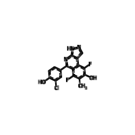 Cc1c(O)c(F)c2c(c(-c3ccc(O)c(Cl)c3)nc3[nH]ncc32)c1F